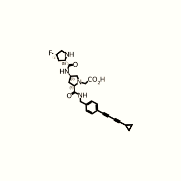 O=C(O)CN1C[C@H](NC(=O)[C@@H]2C[C@H](F)CN2)C[C@@H]1C(=O)NCc1ccc(C#CC#CC2CC2)cc1